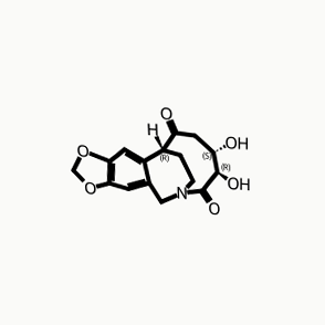 O=C1C[C@H](O)[C@@H](O)C(=O)N2CC[C@@H]1c1cc3c(cc1C2)OCO3